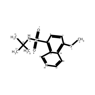 CSc1ccc(S(=O)(=O)NC(C)(C)C)c2cnccc12